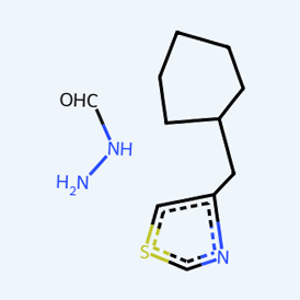 NNC=O.c1nc(CC2CCCCC2)cs1